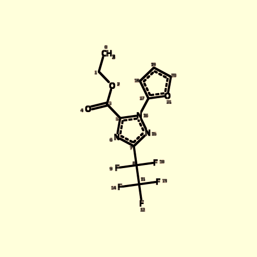 CCOC(=O)c1nc(C(F)(F)C(F)(F)F)nn1-c1ccco1